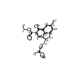 CCOC(=O)c1cn2c3c(cc(I)cc3c1=O)CC2COC(C)=O